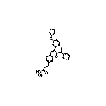 O=C(C=Cc1ccc(C=C(C(=O)Nc2ccccc2)c2cccc(OC3CCCC3)c2)cc1)NO